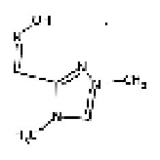 Cn1c[n+](C)nc1/C=N\O.[I-]